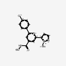 CC(C)(C)NC(=O)c1cc(-c2ccc(Cl)cc2)nc(-c2ccnn2C(C)(C)C)c1